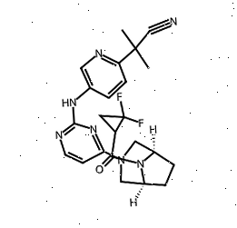 CC(C)(C#N)c1ccc(Nc2nccc(N3C[C@H]4CC[C@@H](C3)N4C(=O)C3CC3(F)F)n2)cn1